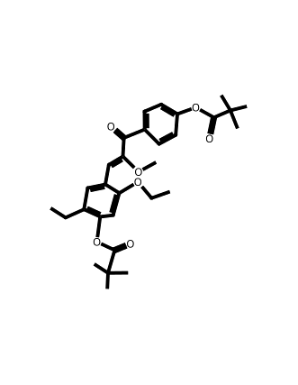 CCOc1cc(OC(=O)C(C)(C)C)c(CC)cc1C=C(OC)C(=O)c1ccc(OC(=O)C(C)(C)C)cc1